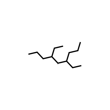 CCCC([CH]C(CC)CCC)CC